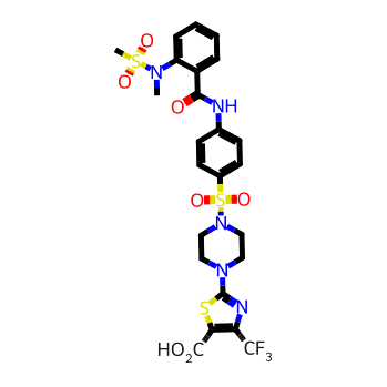 CN(c1ccccc1C(=O)Nc1ccc(S(=O)(=O)N2CCN(c3nc(C(F)(F)F)c(C(=O)O)s3)CC2)cc1)S(C)(=O)=O